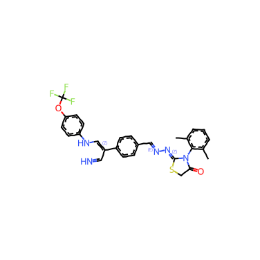 Cc1cccc(C)c1N1C(=O)CS/C1=N\N=C\c1ccc(/C(C=N)=C/Nc2ccc(OC(F)(F)F)cc2)cc1